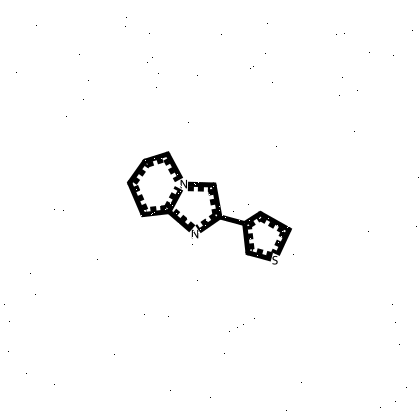 c1ccn2cc(-c3ccsc3)nc2c1